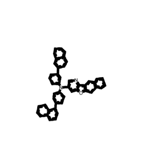 c1cc(-c2ccc3ccccc3c2)cc(N(c2ccc(-c3cccc4ccccc34)cc2)c2cnc3c(c2)oc2cc4ccccc4cc23)c1